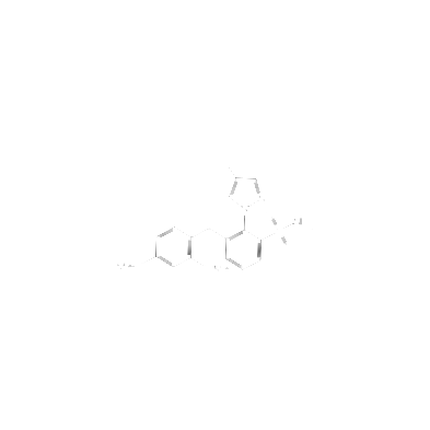 COc1ccc(Cc2cccc(S(N)(=O)=O)c2-n2cc(C(F)(F)F)cn2)c(OC)c1